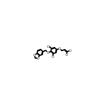 ClC(Cl)=CCOc1cc(Cl)c(OCc2ccc3c(c2)OCO3)c(Cl)c1